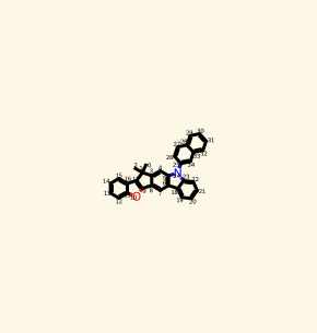 CC1(C)c2cc3c(cc2-c2oc4ccccc4c21)c1ccccc1n3-c1ccc2ccccc2c1